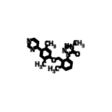 Cc1cc(-c2ccncn2)c(C)cc1OCc1c(C)cccc1-n1nnn(C)c1=O